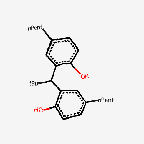 CCCCCc1ccc(O)c(C(c2cc(CCCCC)ccc2O)C(C)(C)C)c1